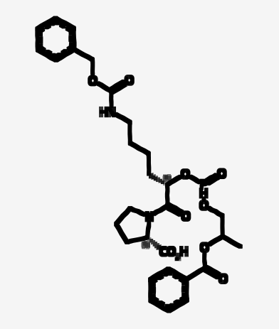 CC(CO[PH](=O)O[C@@H](CCCCNC(=O)OCc1ccccc1)C(=O)N1CCC[C@H]1C(=O)O)OC(=O)c1ccccc1